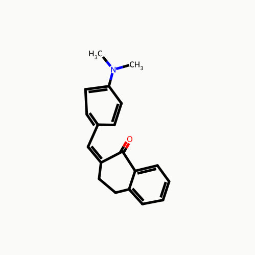 CN(C)c1ccc(/C=C2/CCc3ccccc3C2=O)cc1